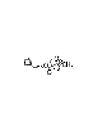 COC12CCCC1(C(=O)OCC=Cc1ccccc1)CCO2